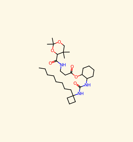 CCCCCCCCC1(NC(=O)NC2CCCCC2OC(=O)CCNC(=O)C2OC(C)(C)OCC2(C)C)CCC1